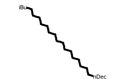 [CH2]CCCCCCCCCCCCCCCCCCCCCCCCCC(C)CC